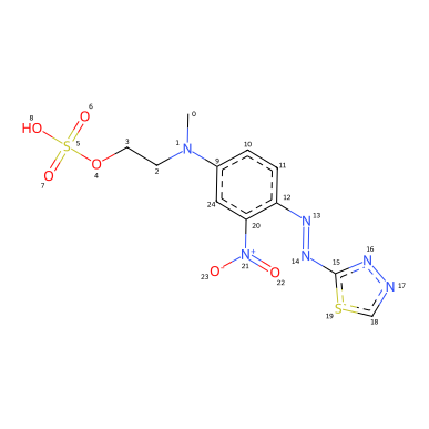 CN(CCOS(=O)(=O)O)c1ccc(N=Nc2nncs2)c([N+](=O)[O-])c1